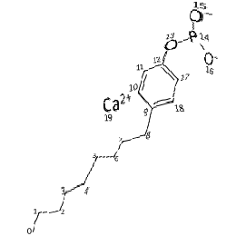 CCCCCCCCCc1ccc(OP([O-])[O-])cc1.[Ca+2]